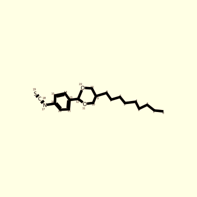 CCCCCCCCCC1COC(c2ccc(N=C=S)cc2)OC1